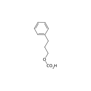 O=C(O)OCCCc1ccccc1